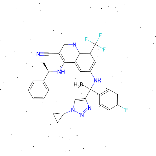 BC(Nc1cc(C(F)(F)F)c2ncc(C#N)c(N[C@H](CC)c3ccccc3)c2c1)(c1ccc(F)cc1)c1cn(C2CC2)nn1